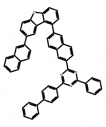 c1ccc(-c2ccc(-c3nc(-c4ccccc4)nc(-c4ccc5cc(-c6cccc7oc8ccc(-c9ccc%10ccccc%10c9)cc8c67)ccc5c4)n3)cc2)cc1